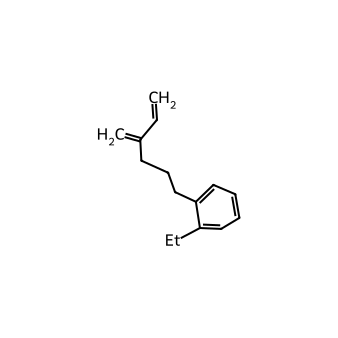 C=CC(=C)CCCc1ccccc1CC